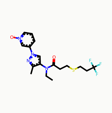 CCN(C(=O)CCSCCC(F)(F)F)c1cn(-c2ccc[n+]([O-])c2)nc1C